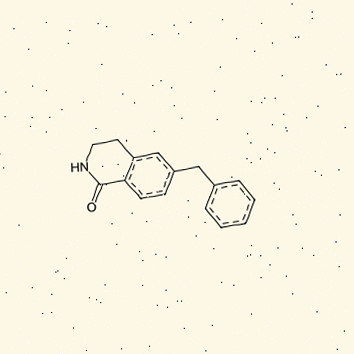 O=C1NCCc2cc(Cc3ccccc3)ccc21